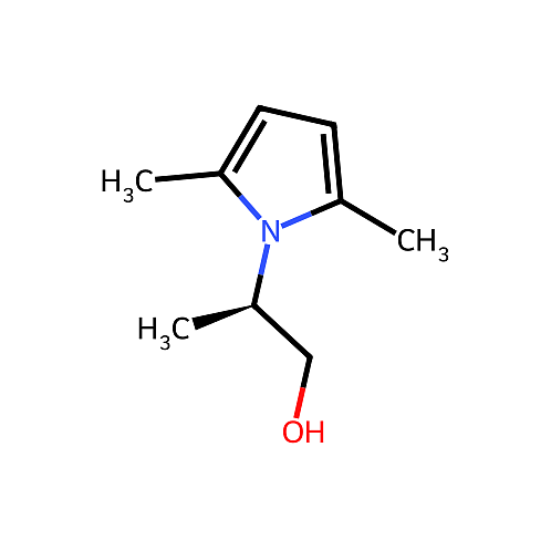 Cc1ccc(C)n1[C@H](C)CO